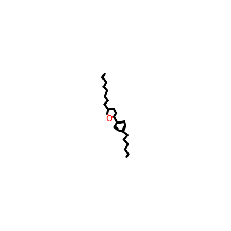 CCCCCCCCC1CCC(c2ccc(CCCCCC)cc2)OC1